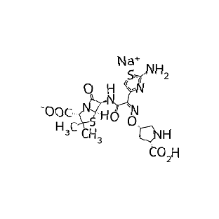 CC1(C)S[C@@H]2[C@H](NC(=O)/C(=N\O[C@@H]3CN[C@H](C(=O)O)C3)c3csc(N)n3)C(=O)N2[C@H]1C(=O)[O-].[Na+]